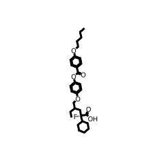 CCCCCOc1ccc(C(=O)Oc2ccc(OCC(CC)C[C@@](F)(C(=O)O)C3CCCCC3)cc2)cc1